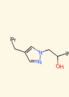 CC(C)Cc1cnn(CC(O)C(C)C)c1